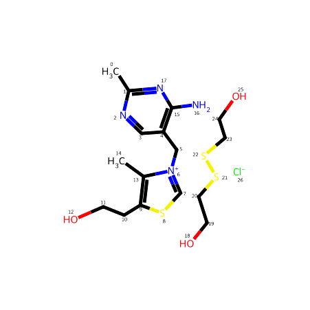 Cc1ncc(C[n+]2csc(CCO)c2C)c(N)n1.OCCSSCCO.[Cl-]